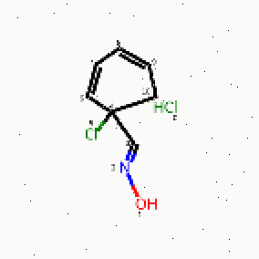 Cl.ON=CC1(Cl)C=CC=CC1